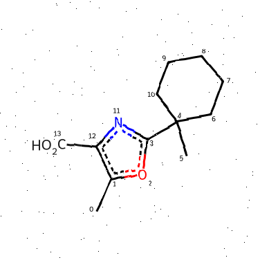 Cc1oc(C2(C)CCCCC2)nc1C(=O)O